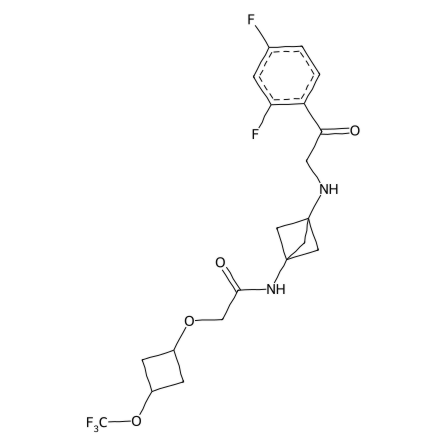 O=C(COC1CC(OC(F)(F)F)C1)NC12CC(NCC(=O)c3ccc(F)cc3F)(C1)C2